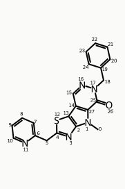 Cn1c2nc(Cc3ccccn3)sc2c2cnn(Cc3ccccc3)c(=O)c21